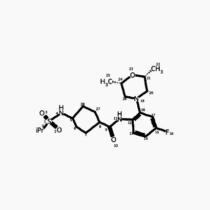 CC(C)S(=O)(=O)NC1CCC(C(=O)Nc2ccc(F)cc2N2C[C@@H](C)O[C@@H](C)C2)CC1